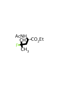 CCOC(=O)[C@H](CC(C)(C)F)NC(C)=O